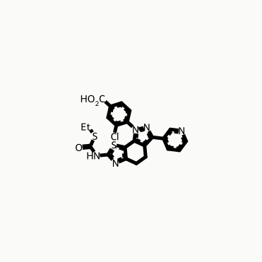 CCSC(=O)Nc1nc2c(s1)-c1c(c(-c3cccnc3)nn1-c1ccc(C(=O)O)cc1Cl)CC2